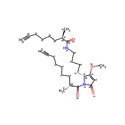 C#CCCCCC[C@@H](C)C(=O)N1C(=O)C=C(OC)[C@H]1CCCCNC(=O)[C@H](C)CCCCC#C